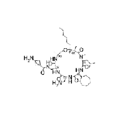 CCCCCC[C@H]1OC[C@@H](C)NC(=O)[C@H](CNC(=O)C23CC(N)(C2)C3)NC(=O)[C@H](CN)NC(=O)[C@H](C2CCCCCC2)NC(=O)[C@H](CC(C)C)N(C)C(=O)[C@@H]1C